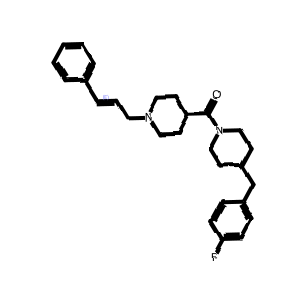 O=C(C1CCN(C/C=C/c2ccccc2)CC1)N1CCC(Cc2ccc(F)cc2)CC1